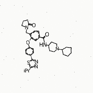 CC(C)c1nnc(-c2ccc(Oc3cc(C(=O)NC4CCN(C5CCCCC5)CC4)ccc3CN3CCCC3=O)cc2)s1